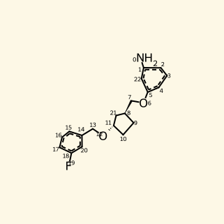 Nc1cccc(OC[C@H]2CC[C@H](OCc3cccc(F)c3)C2)c1